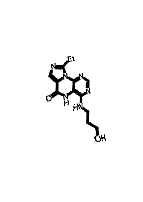 CCc1ncc2c(=O)[nH]c3c(NCCCO)ncnc3n12